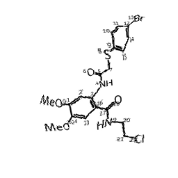 COc1cc(NC(=O)CSc2ccc(Br)cc2)c(C(=O)NCCCl)cc1OC